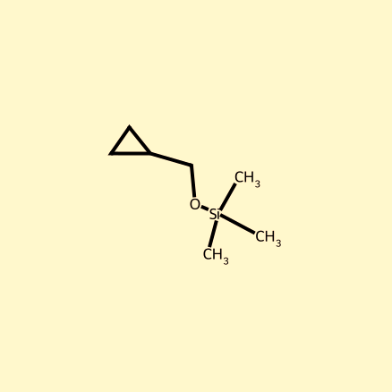 C[Si](C)(C)OCC1CC1